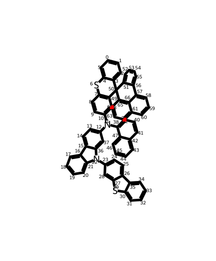 c1ccc2c(c1)Sc1ccc(N(c3ccc4c5ccccc5n(-c5ccc6c(c5)sc5ccccc56)c4c3)c3cccc4ccccc34)cc1C21c2ccccc2-c2cccc3cccc1c23